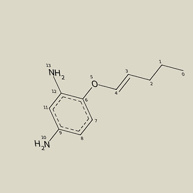 CCCC=COc1ccc(N)cc1N